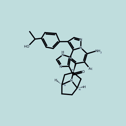 CC(=O)c1c([C@H]2C[C@H]3CC[C@@H](C2)N3C(=O)c2nc[nH]n2)nc2c(-c3ccc(C(C)O)cc3)cnn2c1N